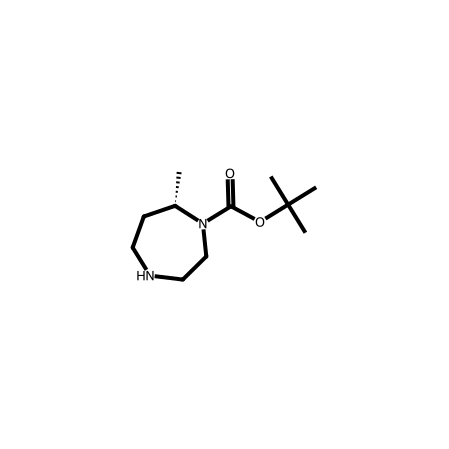 C[C@H]1CCNCCN1C(=O)OC(C)(C)C